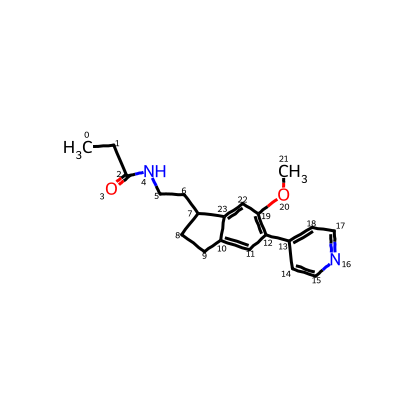 CCC(=O)NCCC1CCc2cc(-c3ccncc3)c(OC)cc21